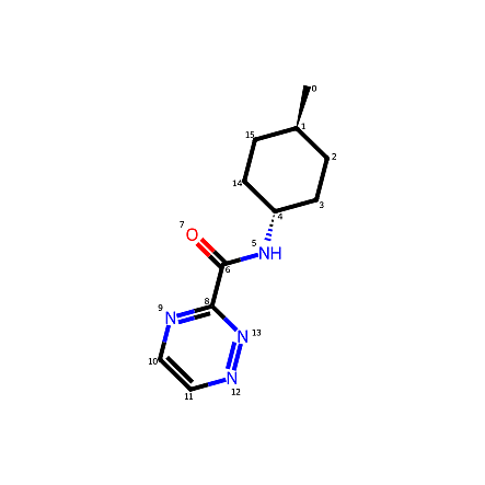 C[C@H]1CC[C@H](NC(=O)c2nccnn2)CC1